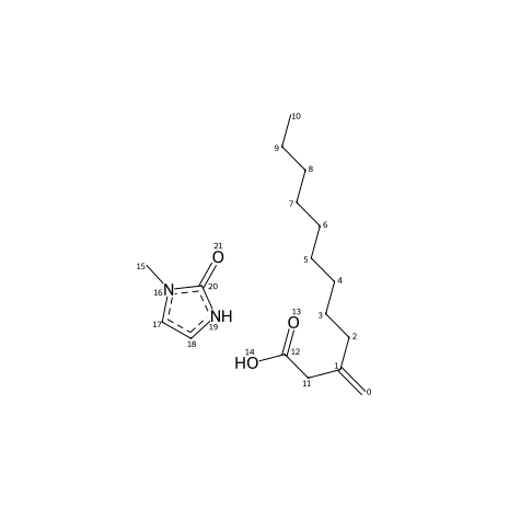 C=C(CCCCCCCCC)CC(=O)O.Cn1cc[nH]c1=O